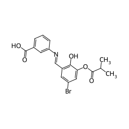 CC(C)C(=O)Oc1cc(Br)cc(C=Nc2cccc(C(=O)O)c2)c1O